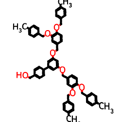 Cc1ccc(COc2ccc(COc3cc(OCc4ccc(OCc5ccc(C)cc5)c(OCc5ccc(C)cc5)c4)cc(-c4ccc(CO)cc4)c3)cc2OCc2ccc(C)cc2)cc1